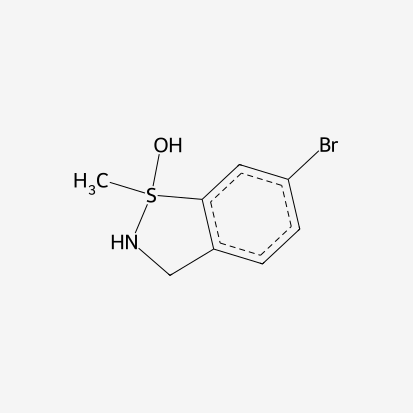 CS1(O)NCc2ccc(Br)cc21